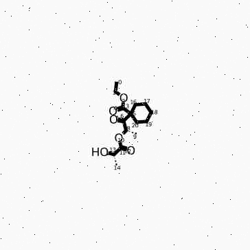 CCOC(=O)C1(C(=O)[C@H](C)OC(=O)[C@H](C)O)CCCCC1